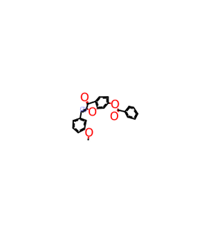 COc1cccc(/C=C2\Oc3cc(OC(=O)c4ccccc4)ccc3C2=O)c1